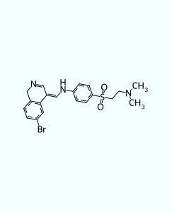 CN(C)CCS(=O)(=O)c1ccc(N/C=C2\C=NCc3ccc(Br)cc32)cc1